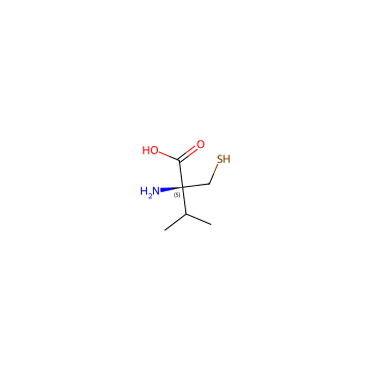 CC(C)[C@@](N)(CS)C(=O)O